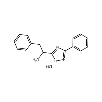 Cl.NC(Cc1ccccc1)c1nc(-c2ccccc2)no1